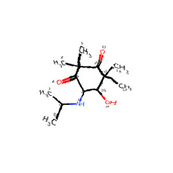 CC(C)NC1C(=O)C(C)(C)C(=O)C(C)(C)C1O